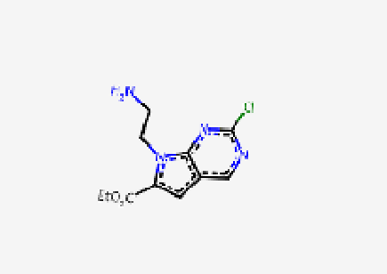 CCOC(=O)c1cc2cnc(Cl)nc2n1CCN